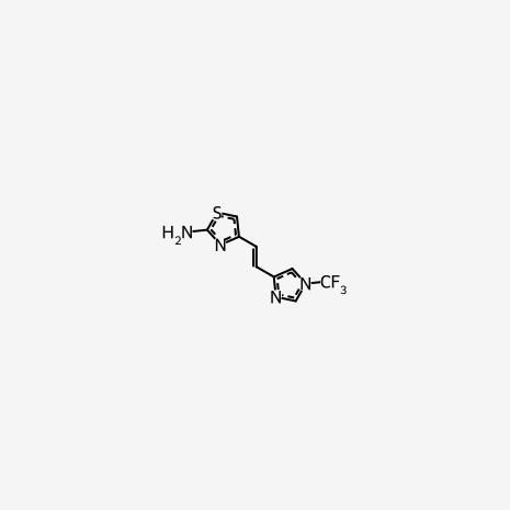 Nc1nc(C=Cc2cn(C(F)(F)F)cn2)cs1